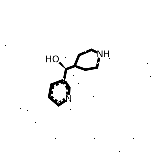 O[C@H](c1cccnc1)C1CCNCC1